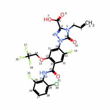 C=CCn1c(C(=O)O)nn(-c2cc(OCC(F)(F)F)c(C(=O)Nc3c(F)cccc3Cl)cc2F)c1=O